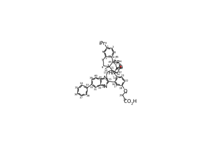 CC(C)c1ccc2c(c1)CCC1(C)[C@](C)(Cn3c(-c4cc(OCC(=O)O)ccc4NC(=O)C(F)(F)F)nc4cc(-c5ccccc5)ccc43)CCC[C@]21C